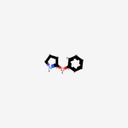 c1ccc(OC2=NCCC2)cc1